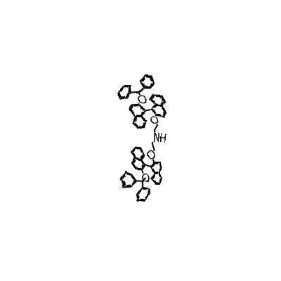 c1ccc(C(Oc2ccc3ccccc3c2-c2c(OCCNCCOc3ccc4ccccc4c3-c3c(OC(c4ccccc4)c4ccccc4)ccc4ccccc34)ccc3ccccc23)c2ccccc2)cc1